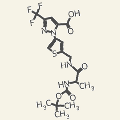 CC(NC(=O)OC(C)(C)C)C(=O)NCc1cc(-n2nc(C(F)(F)F)cc2C(=O)O)cs1